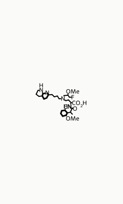 COc1cccc(C#N)c1C(C)C(=O)NC(CCN(CCCCc1ccc2c(n1)NCCC2)CC(CF)OC)C(=O)O